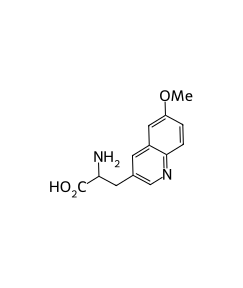 COc1ccc2ncc(CC(N)C(=O)O)cc2c1